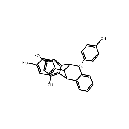 Oc1ccc(C2C3c4ccccc4[C@@H](c4ccc(O)cc4)C2c2cc(O)cc(O)c23)cc1